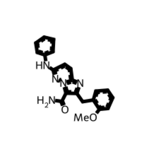 COc1ccccc1Cc1nc2ccc(Nc3ccccc3)nn2c1C(N)=O